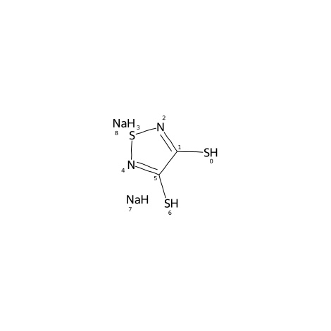 Sc1nsnc1S.[NaH].[NaH]